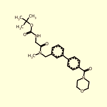 CN(Cc1cccc(-c2ccc(C(=O)N3CCOCC3)cc2)c1)C(=O)CNC(=O)OC(C)(C)C